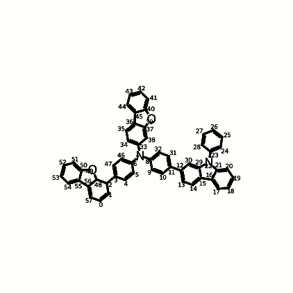 C1=CC(c2ccc(N(c3ccc(-c4ccc5c6ccccc6n(-c6ccccc6)c5c4)cc3)c3ccc4c(c3)oc3ccccc34)cc2)C2Oc3ccccc3C2=C1